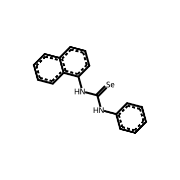 [Se]=C(Nc1ccccc1)Nc1cccc2ccccc12